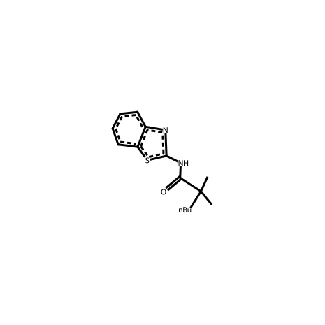 CCCCC(C)(C)C(=O)Nc1nc2ccccc2s1